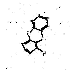 Clc1cccc2c1Oc1ccccc1O2